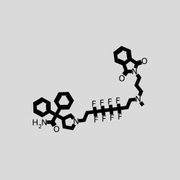 CN(CCCN1C(=O)c2ccccc2C1=O)CCC(F)(F)C(F)(F)C(F)(F)C(F)(F)CCN1CCC(C(C(N)=O)(c2ccccc2)c2ccccc2)C1